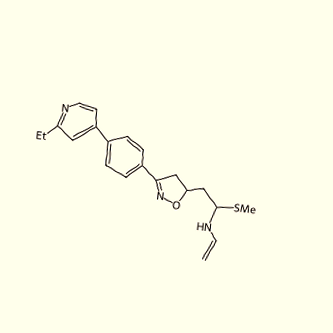 C=CNC(CC1CC(c2ccc(-c3ccnc(CC)c3)cc2)=NO1)SC